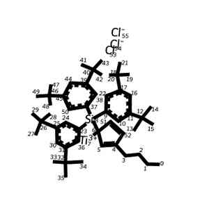 CCCCC1=C[C]([Ti+3])([Si](c2cc(C(C)(C)C)cc(C(C)(C)C)c2)(c2cc(C(C)(C)C)cc(C(C)(C)C)c2)c2cc(C(C)(C)C)cc(C(C)(C)C)c2)C=C1.[Cl-].[Cl-].[Cl-]